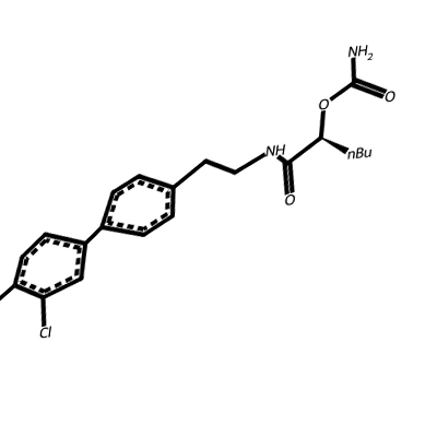 CCCC[C@H](OC(N)=O)C(=O)NCCc1ccc(-c2ccc(Cl)c(Cl)c2)cc1